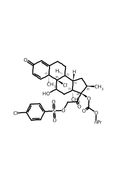 CCCOC(=O)O[C@]1(C(=O)COS(=O)(=O)c2ccc(Cl)cc2)[C@H](C)C[C@H]2[C@@H]3CCC4=CC(=O)C=C[C@]4(C)[C@@]3(Cl)C(O)C[C@@]21C